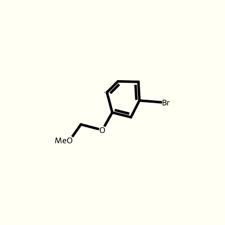 COCOc1[c]ccc(Br)c1